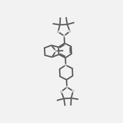 CN1C2CCC1c1c(N3CCC(B4OC(C)(C)C(C)(C)O4)CC3)ccc(B3OC(C)(C)C(C)(C)O3)c12